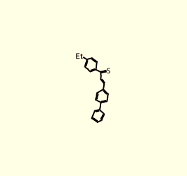 CCc1ccc(C(=S)C=Cc2ccc(-c3ccccc3)cc2)cc1